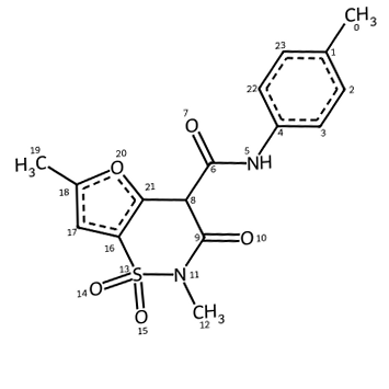 Cc1ccc(NC(=O)C2C(=O)N(C)S(=O)(=O)c3cc(C)oc32)cc1